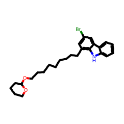 Brc1cc(CCCCCCCCCOC2CCCCO2)c2[nH]c3ccccc3c2c1